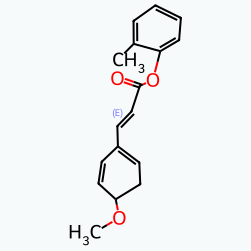 COC1C=CC(/C=C/C(=O)Oc2ccccc2C)=CC1